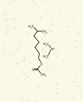 CC(=S)SCCCCCC(C)C.[CH3][Sn][CH3]